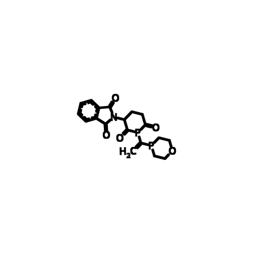 C=C(P1CCOCC1)P1C(=O)CCC(N2C(=O)c3ccccc3C2=O)C1=O